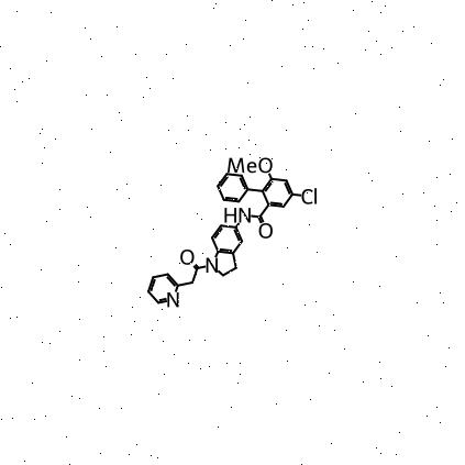 COc1cc(Cl)cc(C(=O)Nc2ccc3c(c2)CCN3C(=O)Cc2ccccn2)c1-c1ccccc1